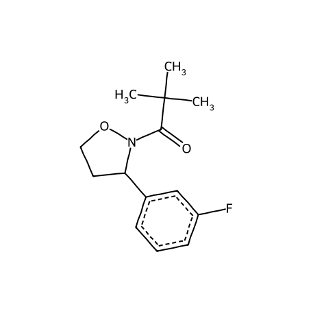 CC(C)(C)C(=O)N1OCCC1c1cccc(F)c1